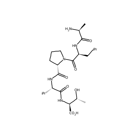 CC(C)C[C@H](NC(=O)[C@H](C)N)C(=O)N1CCC[C@H]1C(=O)N[C@H](C(=O)N[C@H](C(=O)O)[C@@H](C)O)C(C)C